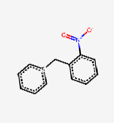 O=[N+]([O-])c1ccccc1C[si]1ccccc1